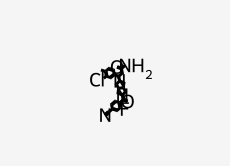 Cc1ccc(C(CC(N)=O)N2CC3CN(C(=O)c4ccc(C#N)cc4F)CC3C2)cc1Cl